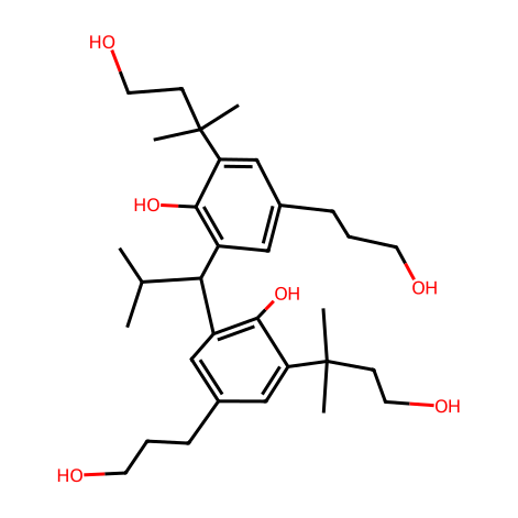 CC(C)C(c1cc(CCCO)cc(C(C)(C)CCO)c1O)c1cc(CCCO)cc(C(C)(C)CCO)c1O